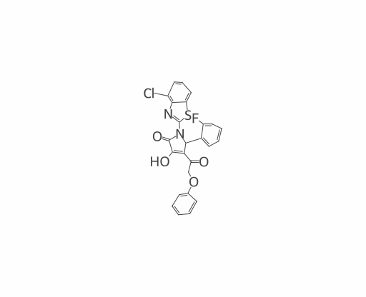 O=C(COc1ccccc1)C1=C(O)C(=O)N(c2nc3c(Cl)cccc3s2)C1c1ccccc1F